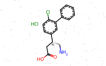 Cl.NC[C@H](CC(=O)O)c1ccc(Cl)c(-c2ccccc2)c1